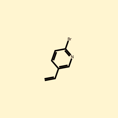 C=Cc1ccc(Br)nc1